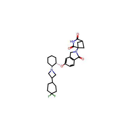 O=C1NC(=O)C2(N3Cc4cc(O[C@H]5CCCC[C@H]5N5CC(C6CCC(F)(F)CC6)C5)ccc4C3=O)CC1C2